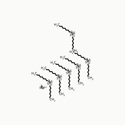 CCCCCCCCOP(=S)([S-])OCCCCCCCC.CCCCCCCCOP(=S)([S-])OCCCCCCCC.CCCCCCCCOP(=S)([S-])OCCCCCCCC.CCCCCCCCOP(=S)([S-])OCCCCCCCC.CCCCCCCCOP(=S)([S-])OCCCCCCCC.CCCCCCCCOP(=S)([S-])OCCCCCCCC.O=S.[Mo+6]